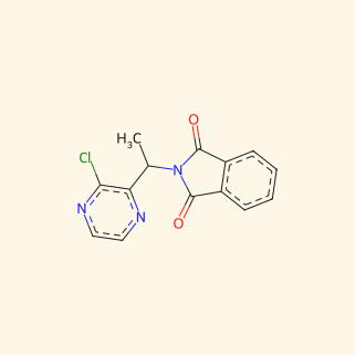 CC(c1nccnc1Cl)N1C(=O)c2ccccc2C1=O